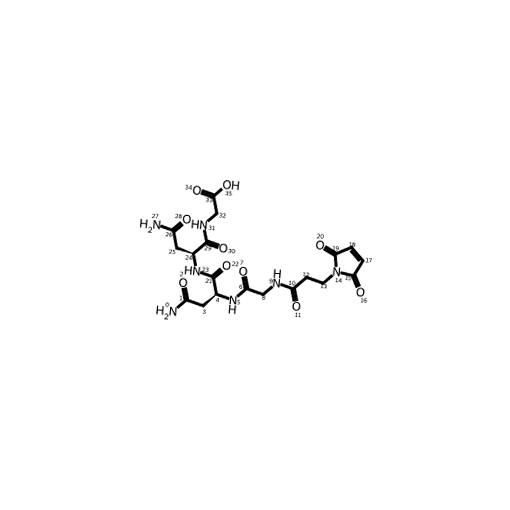 NC(=O)C[C@H](NC(=O)CNC(=O)CCN1C(=O)C=CC1=O)C(=O)N[C@@H](CC(N)=O)C(=O)NCC(=O)O